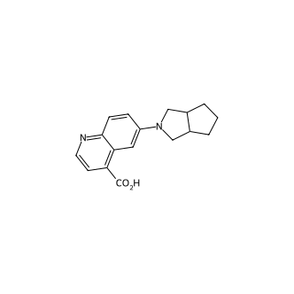 O=C(O)c1ccnc2ccc(N3CC4CCCC4C3)cc12